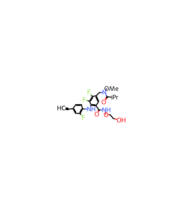 C#Cc1ccc(Nc2c(C(=O)NOCCO)cc(CN(OC)C(=O)C(C)C)c(F)c2F)c(F)c1